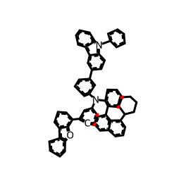 c1ccc(-n2c3ccccc3c3cc(-c4cccc(N(c5cccc(-c6cccc7c6oc6ccccc67)c5)c5ccccc5-c5cccc6cccc(C7CCCCC7)c56)c4)ccc32)cc1